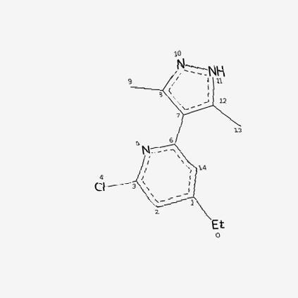 CCc1cc(Cl)nc(-c2c(C)n[nH]c2C)c1